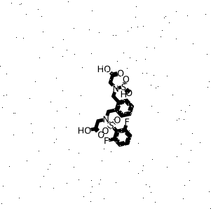 O=C(O)CN(Cc1ccccc1CN(CC(=O)O)S(=O)(=O)c1c(F)cccc1F)[SH](=O)=O